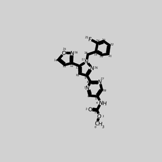 COC(=O)Nc1cnc(-c2cc(-c3ccon3)n(Cc3ccccc3F)n2)nc1